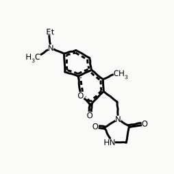 CCN(C)c1ccc2c(C)c(CN3C(=O)CNC3=O)c(=O)oc2c1